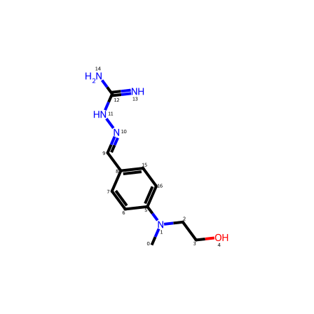 CN(CCO)c1ccc(/C=N/NC(=N)N)cc1